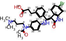 CC(=O)N(CCCN(C)C)c1ccc(N/C(=C2\C(=O)Nc3cc(Br)ccc32)c2cccc(CCC(=O)O)c2)cc1